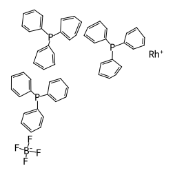 F[B-](F)(F)F.[Rh+].c1ccc(P(c2ccccc2)c2ccccc2)cc1.c1ccc(P(c2ccccc2)c2ccccc2)cc1.c1ccc(P(c2ccccc2)c2ccccc2)cc1